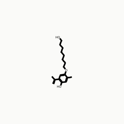 C=C(C)c1cc(OCCCCCCCCO)c(C)cc1O